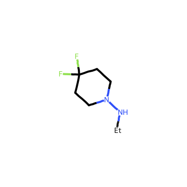 CCNN1CCC(F)(F)CC1